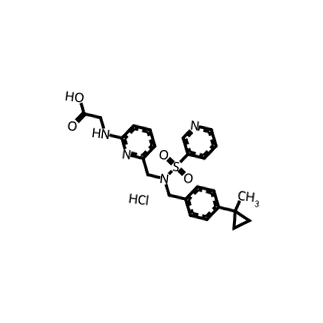 CC1(c2ccc(CN(Cc3cccc(NCC(=O)O)n3)S(=O)(=O)c3cccnc3)cc2)CC1.Cl